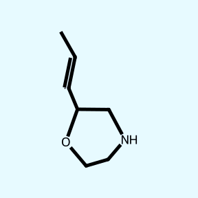 C/C=[C]/C1CNCCO1